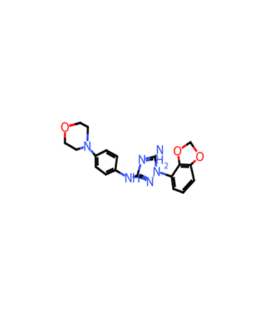 Nc1nc(Nc2ccc(N3CCOCC3)cc2)nn1-c1cccc2c1OCO2